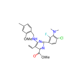 C=Cc1c(NCc2ccc(C)cc2OC)nc(-c2ccc(Cl)c(N(C)C)c2F)nc1C(=O)OC